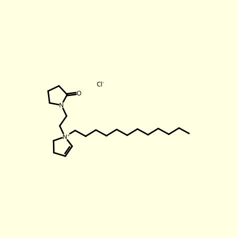 CCCCCCCCCCCC[N+]1(CCN2CCCC2=O)C=CCC1.[Cl-]